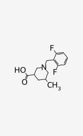 CC1CC(C(=O)O)CN(Cc2c(F)cccc2F)C1